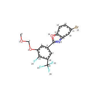 COCOc1cc(-c2nc3cc(Br)ccc3o2)cc(C(F)(F)F)c1F